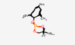 CCCCC1(CC)COP(Oc2c(C)cc(C(C)(C)C)cc2C(C)(C)C)OC1